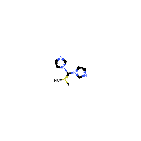 CS(C#N)=C(n1ccnc1)n1ccnc1